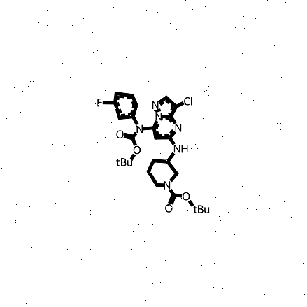 CC(C)(C)OC(=O)N1CCCC(Nc2cc(N(C(=O)OC(C)(C)C)c3cccc(F)c3)n3ncc(Cl)c3n2)C1